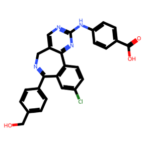 O=C(O)c1ccc(Nc2ncc3c(n2)-c2ccc(Cl)cc2C(c2ccc(CO)cc2)=NC3)cc1